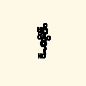 O=C1CCC(N2C(=O)c3ccc(/C=C/CO)cc3C2=O)C(=O)N1